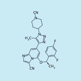 Cc1c(-c2cc(O[C@H](C)c3ccc(F)cc3F)n3c(C#N)cnc3c2)nnn1C1CCN(C#N)CC1